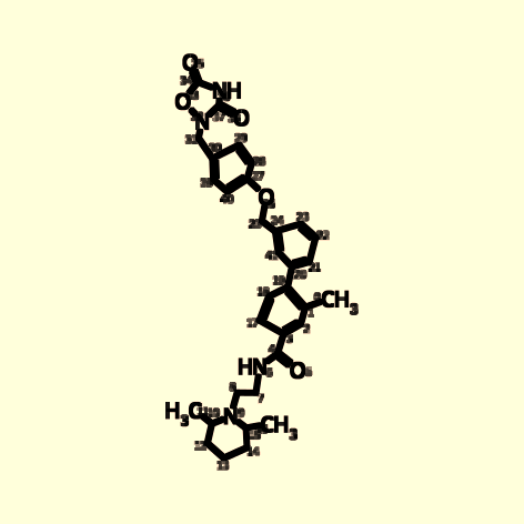 Cc1cc(C(=O)NCCN2C(C)CCCC2C)ccc1-c1cccc(COc2ccc(Cn3oc(=O)[nH]c3=O)cc2)c1